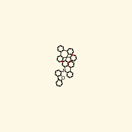 c1ccc(-c2ccccc2N(c2ccc3c(c2)-c2ccccc2C32c3ccccc3-c3ccccc3-c3ccccc32)c2cccc3c2oc2ccccc23)cc1